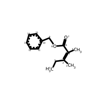 CCC(C)=C(C)C(=O)OCc1ccccc1